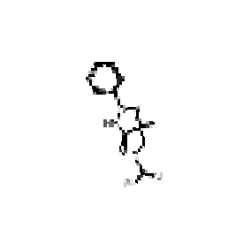 CC(C)C(=O)OCC1(C)CN(c2ccccc2)NC1=O